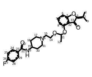 CC(C)=C1Oc2cccc(OC(C)OCCN3CCC(NC(=O)c4ccc(F)cc4)CC3)c2C1=O